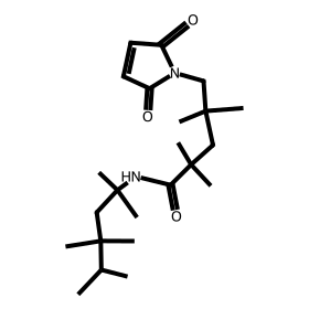 CC(C)C(C)(C)CC(C)(C)NC(=O)C(C)(C)CC(C)(C)CN1C(=O)C=CC1=O